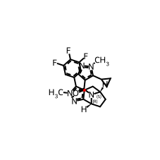 Cn1nc2c(c1-c1cc(F)c(F)c(F)c1)C[C@@H]1CC[C@H]2N1C(=O)c1cnn(C)c1C1CC1